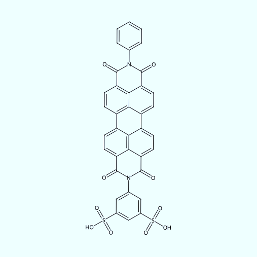 O=C1c2ccc3c4ccc5c6c(ccc(c7ccc(c2c37)C(=O)N1c1ccccc1)c64)C(=O)N(c1cc(S(=O)(=O)O)cc(S(=O)(=O)O)c1)C5=O